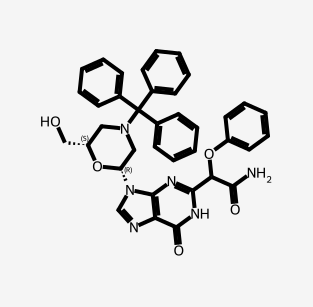 NC(=O)C(Oc1ccccc1)c1nc2c(ncn2[C@H]2CN(C(c3ccccc3)(c3ccccc3)c3ccccc3)C[C@@H](CO)O2)c(=O)[nH]1